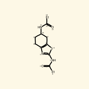 CCC(=O)Nc1nc2c(s1)CC(NC(=O)CC)CC2